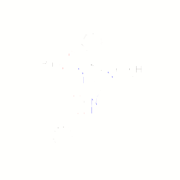 CC(C)(C)OC(=O)NC[C@]1(Cc2ccccc2)C[C@H](NC(=O)OCc2ccccc2)CN1C(=O)O